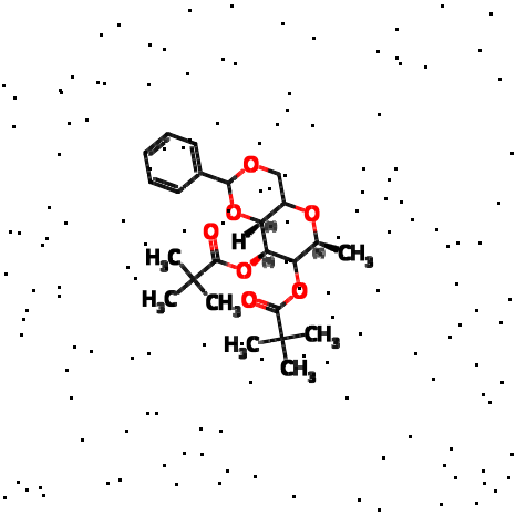 C[C@@H]1OC2COC(c3ccccc3)O[C@H]2[C@H](OC(=O)C(C)(C)C)C1OC(=O)C(C)(C)C